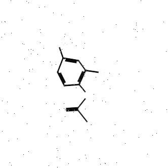 CC[CH]C(=O)Oc1ccc(OC)cc1C=O